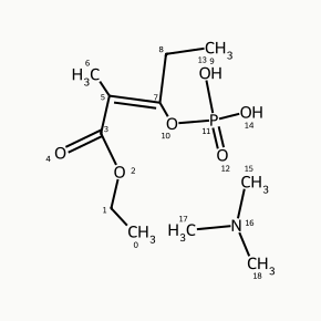 CCOC(=O)C(C)=C(CC)OP(=O)(O)O.CN(C)C